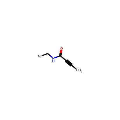 CC#CC(=O)NCC(C)=O